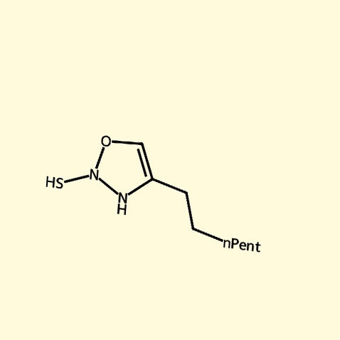 CCCCCCCC1=CON(S)N1